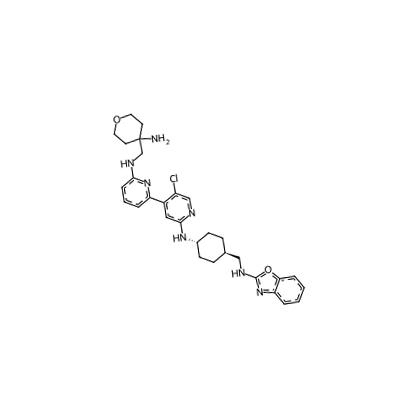 NC1(CNc2cccc(-c3cc(N[C@H]4CC[C@H](CNc5nc6ccccc6o5)CC4)ncc3Cl)n2)CCOCC1